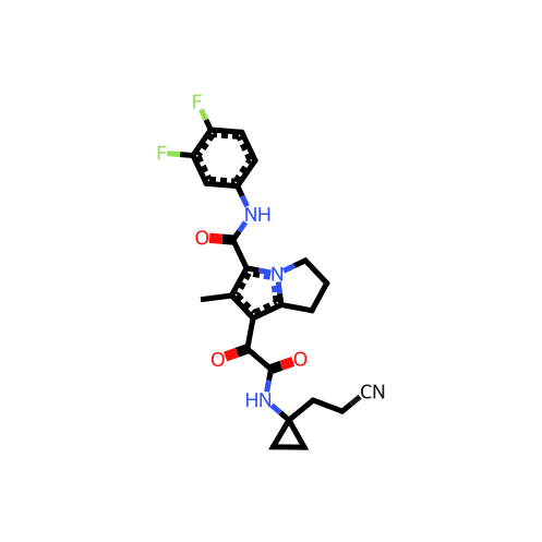 Cc1c(C(=O)C(=O)NC2(CCC#N)CC2)c2n(c1C(=O)Nc1ccc(F)c(F)c1)CCC2